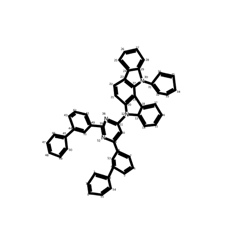 c1ccc(-c2cccc(-c3cc(-n4c5ccccc5c5c4ccc4c6ccccc6n(-c6ccccc6)c45)nc(-c4cccc(-c5ccccc5)c4)n3)c2)cc1